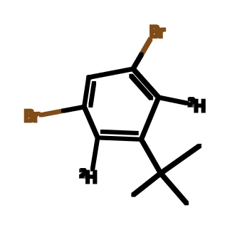 [2H]c1c(Br)cc(Br)c([2H])c1C(C)(C)C